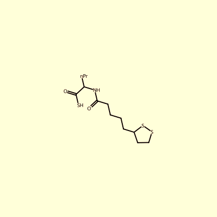 CCCC(NC(=O)CCCCC1CCSS1)C(=O)S